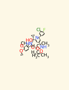 COc1cc(C(=O)NCC(O)(c2cc(C(C)(C)NC(=O)OC(C)(C)C)cc(-c3ccc(F)c(Cl)c3)n2)C2CC2)ccc1OC1CC1